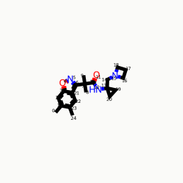 Cc1cc2onc(C(C)(C)C(=O)NC3(CN4CCC4)CC3)c2cc1C